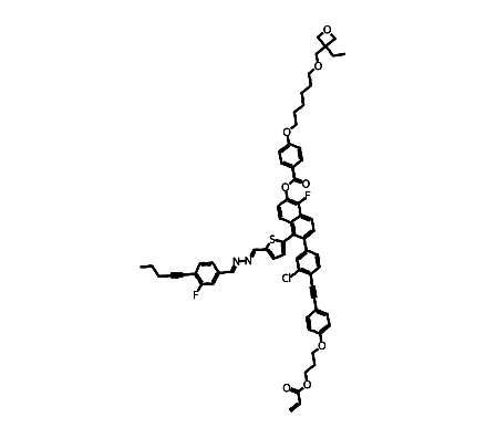 C=CC(=O)OCCCOc1ccc(C#Cc2ccc(-c3ccc4c(F)c(OC(=O)c5ccc(OCCCCCCOCC6(CC)COC6)cc5)ccc4c3-c3ccc(/C=N/N=C/c4ccc(C#CCCC)c(F)c4)s3)cc2Cl)cc1